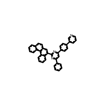 c1ccc(-c2cc(-c3ccc(-c4cccnc4)cc3)nc(-c3cc4ccc5ccccc5c4c4ccccc34)n2)cc1